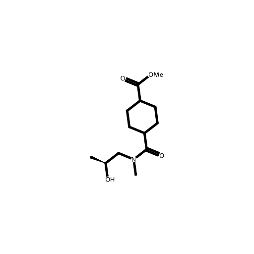 COC(=O)C1CCC(C(=O)N(C)C[C@H](C)O)CC1